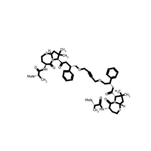 CN[C@@H](C)C(=O)N[C@H]1CCS[C@H]2CC(C)(C)[C@@H](C(=O)C[C@H](COCC#CCOC[C@@H](CC(=O)[C@H]3N4C(=O)[C@@H](NC(=O)[C@H](C)NC)CCS[C@H]4CC3(C)C)c3ccccc3)c3ccccc3)N2C1=O